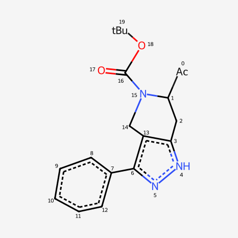 CC(=O)C1Cc2[nH]nc(-c3ccccc3)c2CN1C(=O)OC(C)(C)C